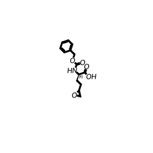 O=C(N[C@H](CCC1CO1)C(=O)O)OCc1ccccc1